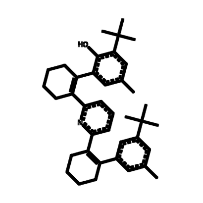 Cc1cc(C2=C(c3cccc(C4=C(c5cc(C)cc(C(C)(C)C)c5O)CCCC4)n3)CCCC2)cc(C(C)(C)C)c1